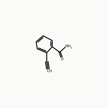 C#Cc1ccccc1C(N)=O